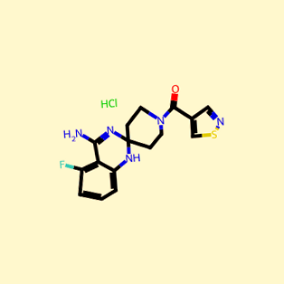 Cl.NC1=NC2(CCN(C(=O)c3cnsc3)CC2)Nc2cccc(F)c21